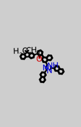 CC1(C)c2ccccc2-c2ccc(-c3cccc4c3oc3cc(C5=NC(c6ccc7ccccc7c6)=NC(c6ccc7ccccc7c6)N5)c5ccccc5c34)cc21